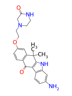 CC1(C)c2cc(OCCN3CCNC(=O)C3)ccc2C(=O)c2c1[nH]c1cc(N)ccc21